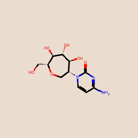 Nc1ccn([C@@H]2CO[C@H](CO)[C@@H](O)[C@H](O)[C@H]2O)c(=O)n1